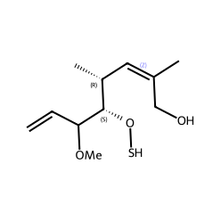 C=CC(OC)[C@@H](OS)[C@H](C)/C=C(/C)CO